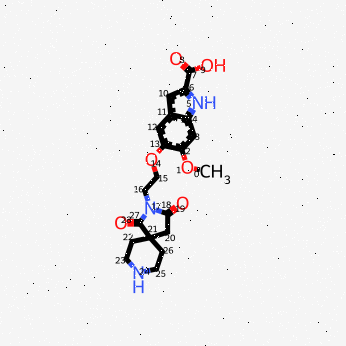 COc1cc2[nH]c(C(=O)O)cc2cc1OCCN1C(=O)CC2(CCNCC2)C1=O